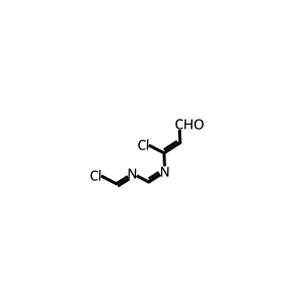 O=C/C=C(Cl)/N=C\N=C\Cl